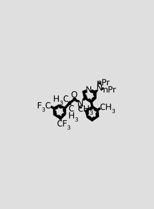 CCCN(CCC)c1cc(-c2ccccc2C)c(N(C)C(=O)C(C)(C)c2cc(C(F)(F)F)cc(C(F)(F)F)c2)cn1